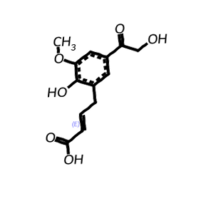 COc1cc(C(=O)CO)cc(C/C=C/C(=O)O)c1O